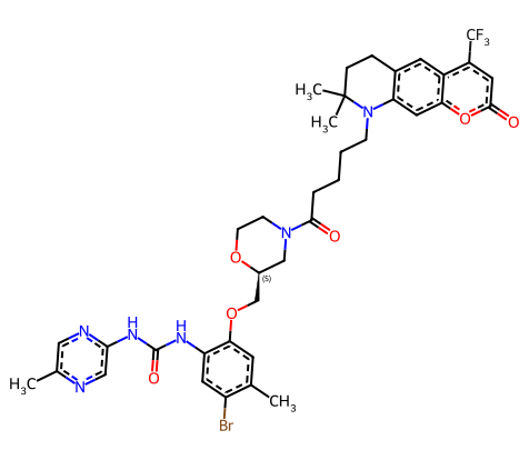 Cc1cnc(NC(=O)Nc2cc(Br)c(C)cc2OC[C@@H]2CN(C(=O)CCCCN3c4cc5oc(=O)cc(C(F)(F)F)c5cc4CCC3(C)C)CCO2)cn1